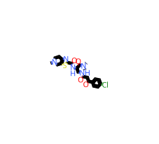 CN1CCc2nc(C(=O)NC(CNC(=O)CC(=O)c3ccc(Cl)cc3)C(=O)N(C)C)sc2C1